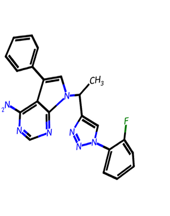 CC(c1cn(-c2ccccc2F)nn1)n1cc(-c2ccccc2)c2c(N)ncnc21